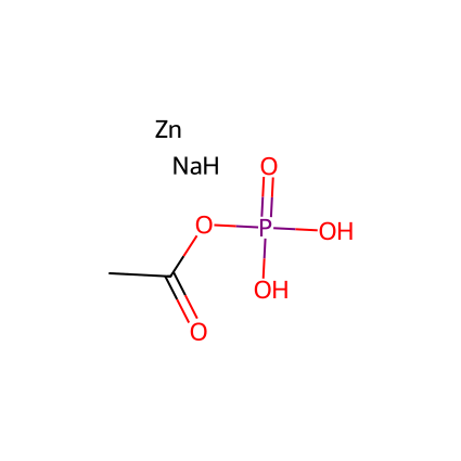 CC(=O)OP(=O)(O)O.[NaH].[Zn]